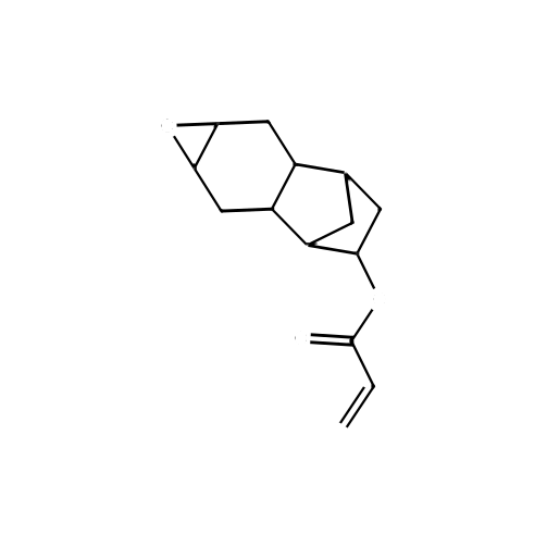 C=CC(=O)OC1CC2CC1C1CC3OC3CC21